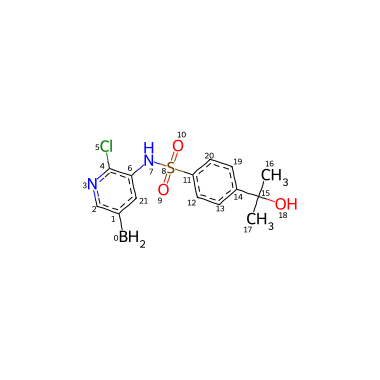 Bc1cnc(Cl)c(NS(=O)(=O)c2ccc(C(C)(C)O)cc2)c1